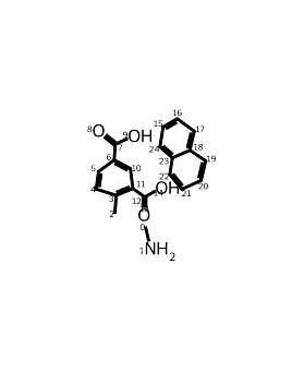 CN.Cc1ccc(C(=O)O)cc1C(=O)O.c1ccc2ccccc2c1